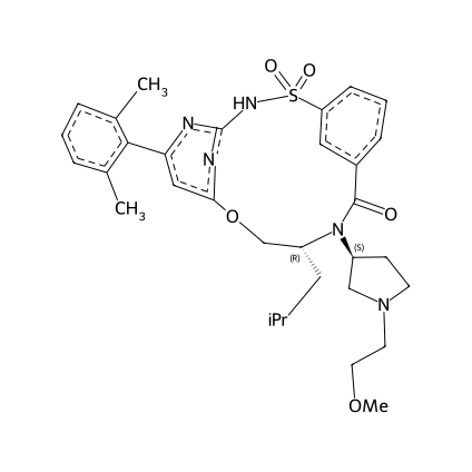 COCCN1CC[C@H](N2C(=O)c3cccc(c3)S(=O)(=O)Nc3nc(cc(-c4c(C)cccc4C)n3)OC[C@H]2CC(C)C)C1